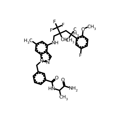 COc1ccc(F)cc1C(C)(C)CC(O)(CNc1cc(C)cc2c1cnn2Cc1cccc(C(=O)NC(C)C(N)=O)c1)C(F)(F)F